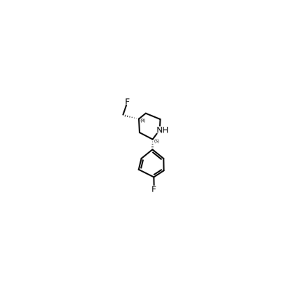 FC[C@@H]1CCN[C@H](c2ccc(F)cc2)C1